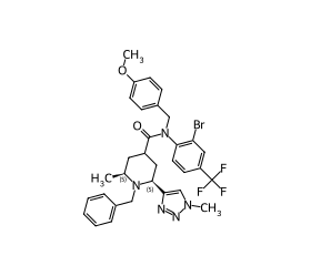 COc1ccc(CN(C(=O)C2C[C@H](C)N(Cc3ccccc3)[C@H](c3cn(C)nn3)C2)c2ccc(C(F)(F)F)cc2Br)cc1